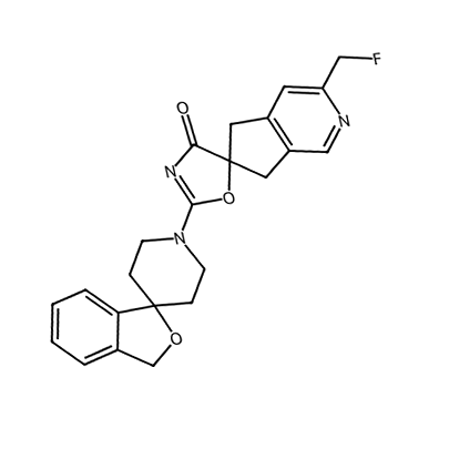 O=C1N=C(N2CCC3(CC2)OCc2ccccc23)OC12Cc1cnc(CF)cc1C2